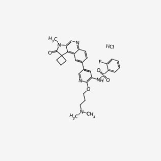 CN(C)CCCOc1ncc(-c2ccc3ncc4c(c3c2)C2(CCC2)C(=O)N4C)cc1NS(=O)(=O)c1ccccc1F.Cl